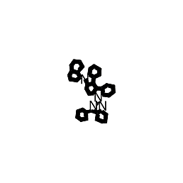 c1ccc(-c2nc(-n3c4ccccc4c4c5c6ccccc6n(-c6cccc7ccccc67)c5ccc43)nc3ccccc23)cc1